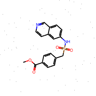 COC(=O)c1ccc(CS(=O)(=O)Nc2ccc3cnccc3c2)cc1